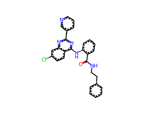 O=C(NCCc1ccccc1)c1ccccc1Nc1nc(-c2cccnc2)nc2cc(Cl)ccc12